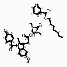 CCCCCCCOC(=O)c1cccnc1.CN1CCN(C)C1=O.COc1ccc2c(c1)c(CC(=O)O)c(C)n2C(=O)c1ccc(Cl)cc1